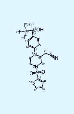 C[C@](O)(c1ccc(N2CCN(S(=O)(=O)c3cccs3)CC2CC#N)cc1)C(F)(F)F